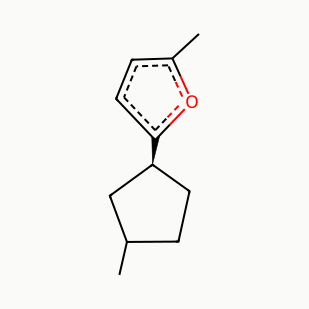 Cc1ccc([C@H]2CCC(C)C2)o1